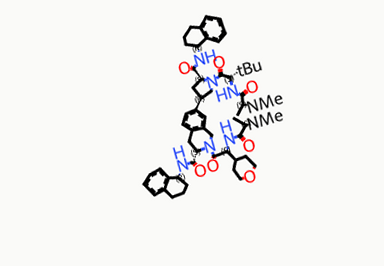 CN[C@@H](C)C(=O)N[C@H](C(=O)N1Cc2cc([C@H]3C[C@@H](C(=O)N[C@@H]4CCCc5ccccc54)N(C(=O)[C@@H](NC(=O)[C@H](C)NC)C(C)(C)C)C3)ccc2C[C@H]1C(=O)N[C@@H]1CCCc2ccccc21)C1CCOCC1